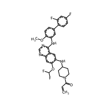 C=CC(=O)N1CCC(Nc2cc3c(Nc4cc(-c5ccc(F)cc5F)ccc4OC)ncnc3cc2OC(F)F)CC1